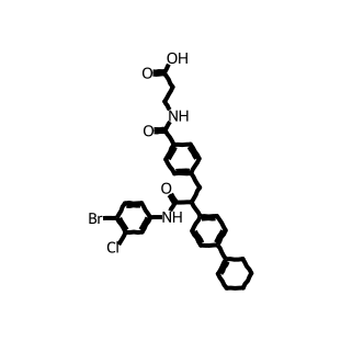 O=C(O)CCNC(=O)c1ccc(CC(C(=O)Nc2ccc(Br)c(Cl)c2)c2ccc(C3=CCCCC3)cc2)cc1